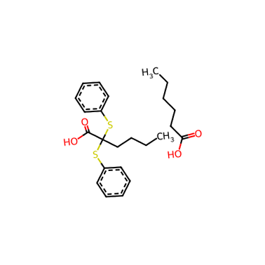 CCCCC(Sc1ccccc1)(Sc1ccccc1)C(=O)O.CCCCCC(=O)O